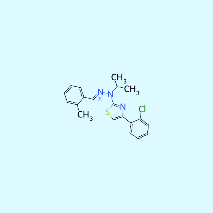 Cc1ccccc1/C=N/N(c1nc(-c2ccccc2Cl)cs1)C(C)C